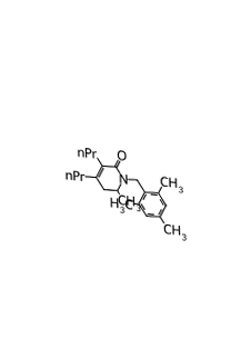 CCCC1=C(CCC)C(=O)N(Cc2c(C)cc(C)cc2C)C(C)C1